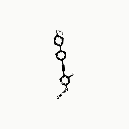 Cc1ccc(-c2ccc(C#Cc3cnc(N=C=S)cc3F)cc2)cc1